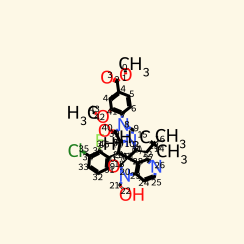 COC(=O)c1ccc(N2CN3[C@@H](CC(C)(C)C)[C@@]4(C(=O)N(CO)c5ccncc54)[C@@H](c4cccc(Cl)c4F)[C@@H]3C2=O)c(OC)c1